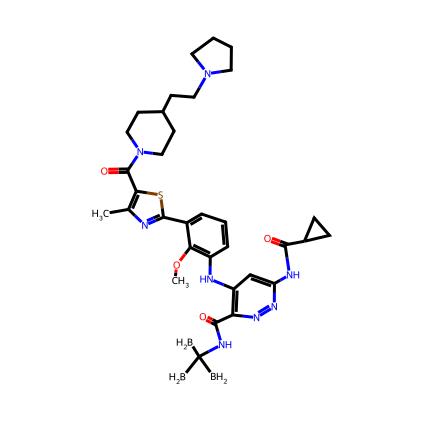 BC(B)(B)NC(=O)c1nnc(NC(=O)C2CC2)cc1Nc1cccc(-c2nc(C)c(C(=O)N3CCC(CCN4CCCC4)CC3)s2)c1OC